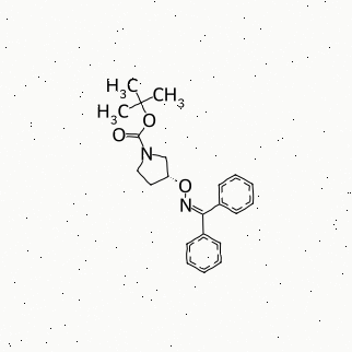 CC(C)(C)OC(=O)N1CC[C@@H](ON=C(c2ccccc2)c2ccccc2)C1